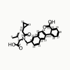 CC(C)[C@@H](C(=O)O)N(Cc1ccc2cc(-c3ccccc3C(=O)O)ccc2c1)C(=O)CC1CC1